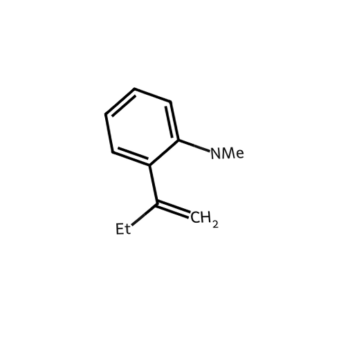 C=C(CC)c1ccccc1NC